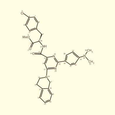 COC(=O)[C@@H](Cc1ccc(Cl)cc1)NC(=O)c1cc(N2CCc3ccccc3C2)nc(-c2ccc(N(C)C)cc2)n1